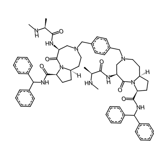 CN[C@@H](C)C(=O)N[C@H]1CN(Cc2ccc(CN3CC[C@H]4CC[C@@H](C(=O)NC(c5ccccc5)c5ccccc5)N4C(=O)[C@@H](NC(=O)[C@H](C)NC)C3)cc2)CC[C@H]2CC[C@@H](C(=O)NC(c3ccccc3)c3ccccc3)N2C1=O